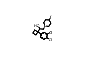 OC(CN1CCC(F)CC1)C1(c2ccc(Cl)c(Cl)c2)CCC1